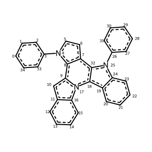 c1ccc(-n2ccc3c2c2cc4ccccc4n2c2c4ccccc4n(-c4ccccc4)c32)cc1